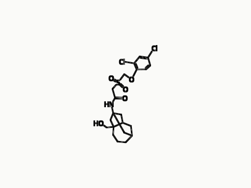 O=C(CS(=O)(=O)COc1ccc(Cl)cc1Cl)NC12CC3CCCC(CO)(C1)C(C3)C2